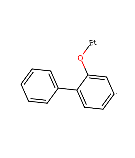 CCOc1c[c]ccc1-c1ccccc1